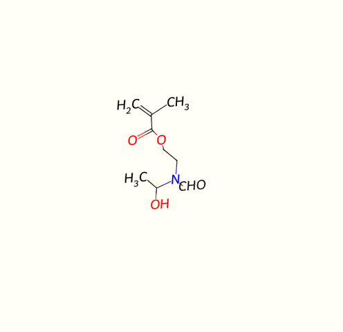 C=C(C)C(=O)OCCN(C=O)C(C)O